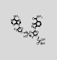 NC(=O)c1cccc2c1nnn2[C@@H]1O[C@H](COP(=O)(O)O)[C@@H](F)[C@H]1OP(=O)(S)OC[C@@H]1C[C@@H](F)[C@H](n2cnc3c(N)ncnc32)O1